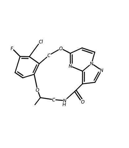 CC1CNC(=O)c2cnn3ccc(nc23)OCc2c(ccc(F)c2Cl)O1